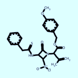 C=C(C)C(C(=O)OCc1ccc(OC)cc1)N1C(=O)C(NC(=S)Cc2ccccc2)C1[S+]([O-])Cl